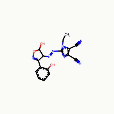 CCn1c(N=NC2C(c3ccccc3O)=NOC2O)nc(C#N)c1C#N